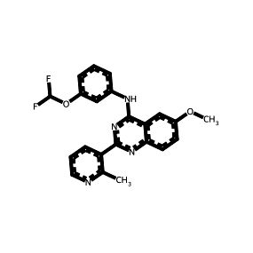 COc1ccc2nc(-c3cccnc3C)nc(Nc3cccc(OC(F)F)c3)c2c1